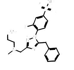 COCCN(C)Cc1nc(Cc2ccccc2)n(-c2ccc(S(N)(=O)=O)cc2F)n1